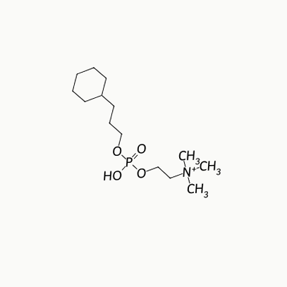 C[N+](C)(C)CCOP(=O)(O)OCCCC1CCCCC1